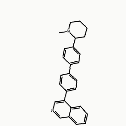 CN1CCCCC1c1ccc(-c2ccc(-c3cncc4ccccc34)cc2)cc1